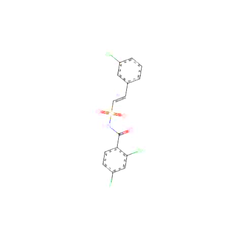 O=C(NS(=O)(=O)/C=C/c1cccc(Cl)c1)c1ccc(F)cc1Br